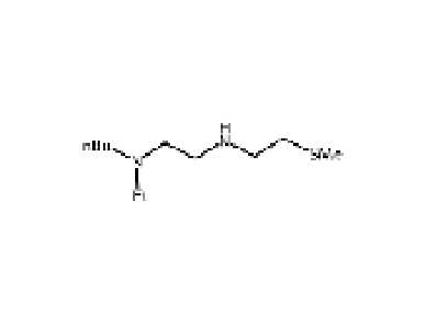 CCCCN(CC)CCNCCSC